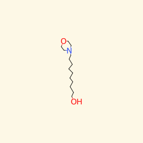 OCCCCCCCCCCN1CCOCC1